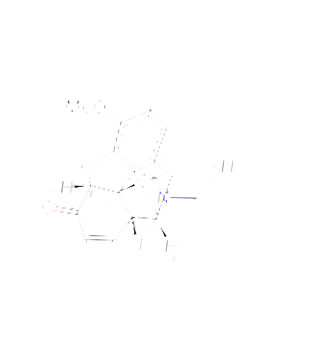 COc1ccc2c3c1O[C@H]1C(=O)C=C[C@H]4[C@@H](C2)N(C)CC[C@]314.[KH]